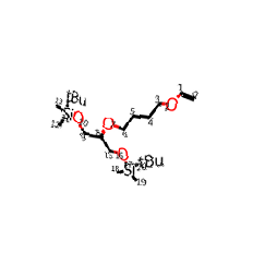 C=COCCCCOC(CO[Si](C)(C)C(C)(C)C)CO[Si](C)(C)C(C)(C)C